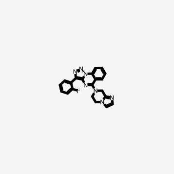 Fc1ccccc1-c1nnn2c1nc(N1CCn3ccnc3C1)c1ccccc12